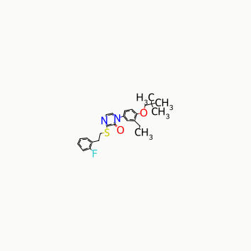 CCc1cc(-n2ccnc(SCCc3ccccc3F)c2=O)ccc1OCC(C)(C)C